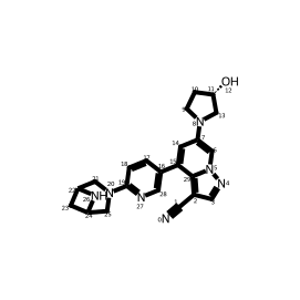 N#Cc1cnn2cc(N3CC[C@H](O)C3)cc(-c3ccc(N4CC5CC(C4)N5)nc3)c12